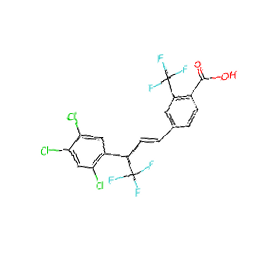 O=C(O)c1ccc(C=CC(c2cc(Cl)c(Cl)cc2Cl)C(F)(F)F)cc1C(F)(F)F